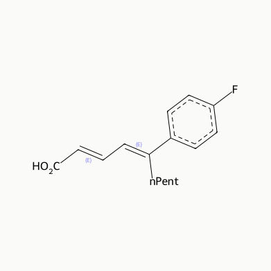 CCCCC/C(=C\C=C\C(=O)O)c1ccc(F)cc1